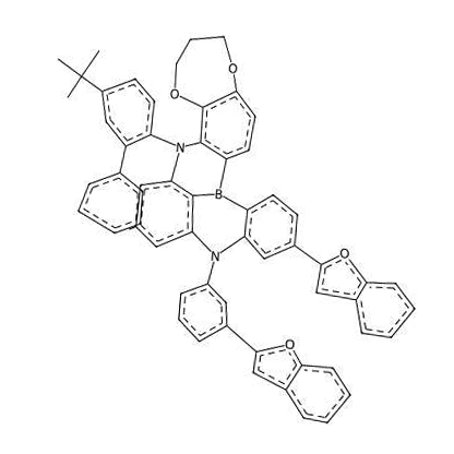 Cc1cc2c3c(c1)N(c1ccc(C(C)(C)C)cc1-c1ccccc1)c1c(ccc4c1OCCCO4)B3c1ccc(-c3cc4ccccc4o3)cc1N2c1cccc(-c2cc3ccccc3o2)c1